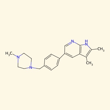 Cc1[nH]c2ncc(-c3ccc(CN4CCN(C)CC4)cc3)cc2c1C